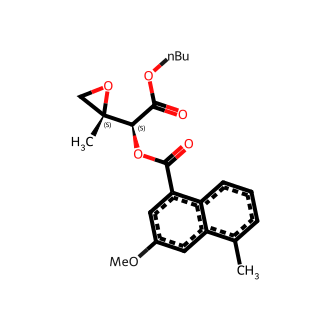 CCCCOC(=O)[C@@H](OC(=O)c1cc(OC)cc2c(C)cccc12)[C@]1(C)CO1